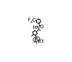 CCC1(C)OB(c2cc(C(C)NC(=O)c3cccc(C(F)(F)F)c3)ccc2C)OC1(C)C